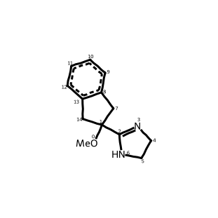 COC1(C2=NCCN2)Cc2ccccc2C1